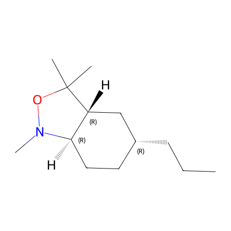 CCC[C@@H]1CC[C@@H]2[C@@H](C1)C(C)(C)ON2C